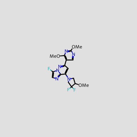 COc1ncc(-c2cc(N3CC(OC)C(F)(F)C3)c3ncc(F)n3n2)c(OC)n1